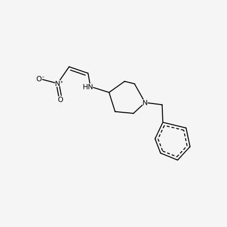 O=[N+]([O-])/C=C\NC1CCN(Cc2ccccc2)CC1